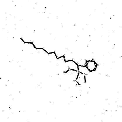 CCCCCCCCCCCC(c1ccccc1)[Si](OC)(OC)OC